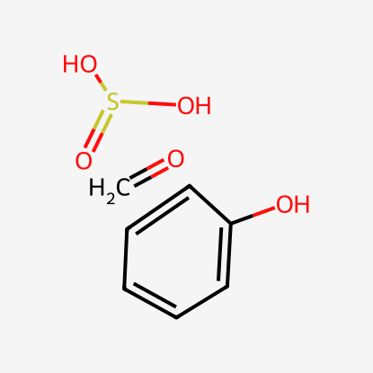 C=O.O=S(O)O.Oc1ccccc1